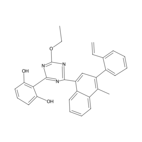 C=Cc1ccccc1-c1cc(-c2nc(OCC)nc(-c3c(O)cccc3O)n2)c2ccccc2c1C